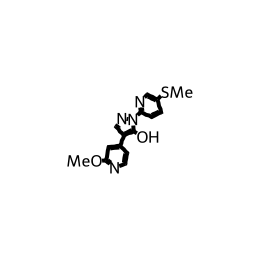 COc1cc(-c2cnn(-c3ccc(SC)cn3)c2O)ccn1